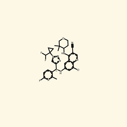 Cc1nc(F)ccc1[C@H](Nc1cc(Cl)c2ncc(C#N)c(NC3CCOCC3(C)C)c2c1)c1cn(C2(C(F)F)CC2)nn1